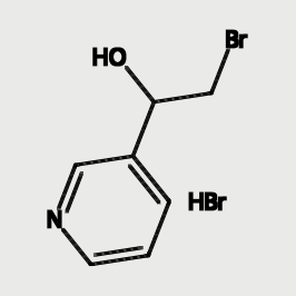 Br.OC(CBr)c1cccnc1